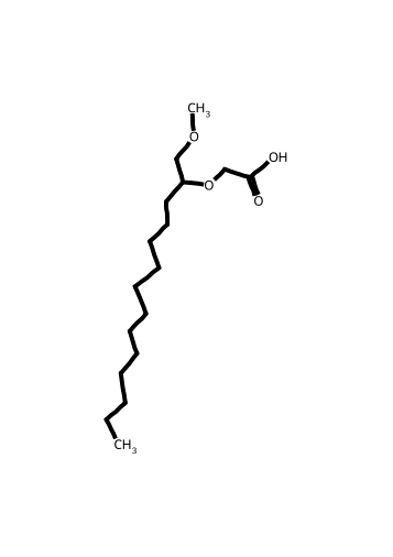 CCCCCCCCCCCCC(COC)OCC(=O)O